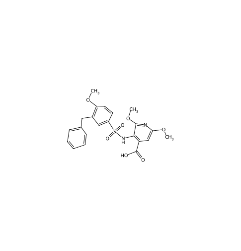 COc1cc(C(=O)O)c(NS(=O)(=O)c2ccc(OC)c(Cc3ccccc3)c2)c(OC)n1